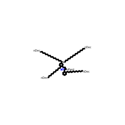 CCCCCCCCCCCCCCCCCC=CCCc1ccccc1C1=CC(CCCCC)=C(c2ccccc2CCC=CCCCCCCCCCCCCCCCCC)[N+]1=[N-].CCCCCCCCCCCCCCCCCCCCCCCCCC[CH2][Ni][CH2]CCCCCCCCCCCCCCCCCCCCCCCCCC